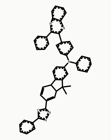 CC1(C)c2cc(N(c3ccccc3)c3ccc(-c4nc5ccccc5nc4-c4ccccc4)cc3)ccc2C2C=CC(c3nnc(-c4ccccc4)o3)=CC21